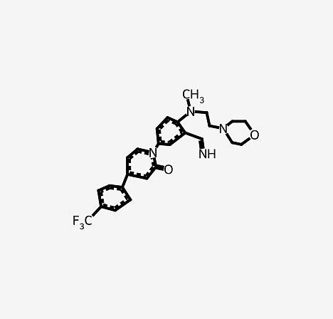 CN(CCN1CCOCC1)c1ccc(-n2ccc(-c3ccc(C(F)(F)F)cc3)cc2=O)cc1C=N